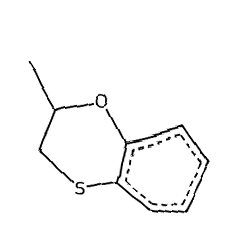 CC1CSc2ccccc2O1